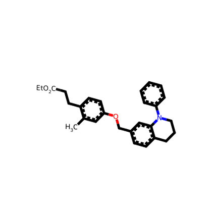 CCOC(=O)CCc1ccc(OCc2ccc3c(c2)N(c2ccccc2)CCC3)cc1C